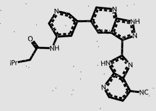 [C-]#[N+]c1ccnc2[nH]c(-c3n[nH]c4ncc(-c5cncc(NC(=O)CC(C)C)c5)cc34)nc12